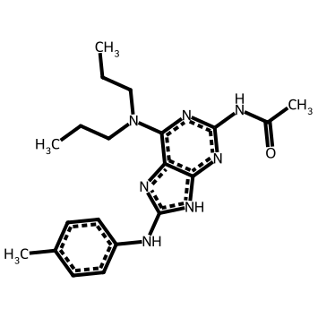 CCCN(CCC)c1nc(NC(C)=O)nc2[nH]c(Nc3ccc(C)cc3)nc12